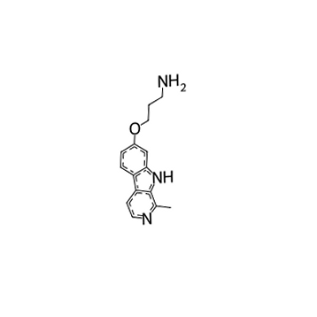 Cc1nccc2c1[nH]c1cc(OCCCN)ccc12